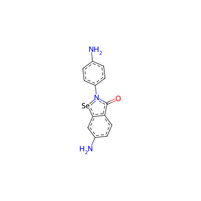 Nc1ccc(-n2[se]c3cc(N)ccc3c2=O)cc1